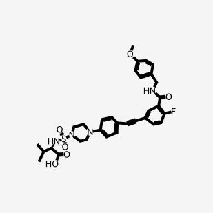 COc1ccc(CNC(=O)c2cc(C#Cc3ccc(N4CCN(S(=O)(=O)N[C@@H](C(=O)O)C(C)C)CC4)cc3)ccc2F)cc1